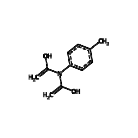 C=C(O)N(C(=C)O)c1ccc(C)cc1